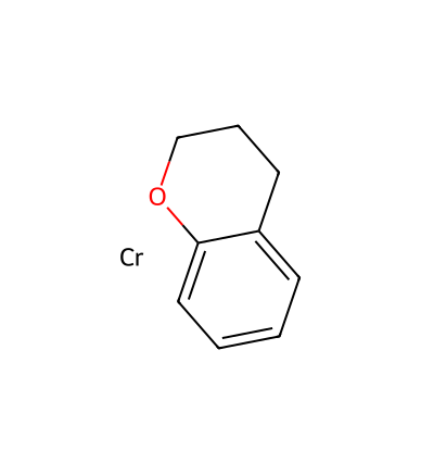 [Cr].c1ccc2c(c1)CCCO2